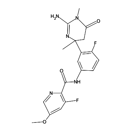 COc1cnc(C(=O)Nc2ccc(F)c(C3(C)CC(=O)N(C)C(N)=N3)c2)c(F)c1